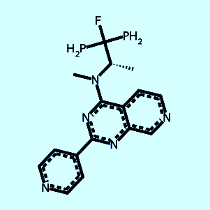 C[C@H](N(C)c1nc(-c2ccncc2)nc2cnccc12)C(F)(P)P